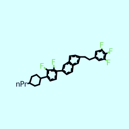 CCCC1CCC(c2ccc(-c3ccc4cc(CCc5cc(F)c(F)c(F)c5)ccc4c3)c(F)c2F)CC1